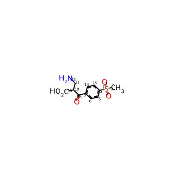 CS(=O)(=O)c1ccc(C(=O)C(CN)C(=O)O)cc1